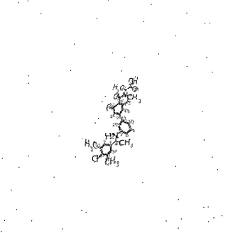 Cc1cc(C(C)Nc2cccc(-c3cc(F)c(C(=O)N(C)C(C)C(=O)O)c(F)c3)c2)cc(C)c1Cl